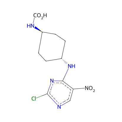 O=C(O)N[C@H]1CC[C@H](Nc2nc(Cl)ncc2[N+](=O)[O-])CC1